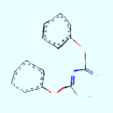 CN/C(=N\C(=N)Oc1ccccc1)Oc1ccccc1